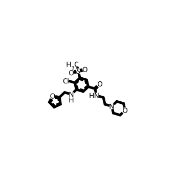 CS(=O)(=O)c1cc(C(=O)NCCN2CCOCC2)cc(NCc2ccco2)c1Cl